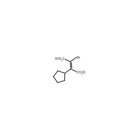 CCCC(C(=O)OCC)=C(C(=O)OCC)C1CCCC1